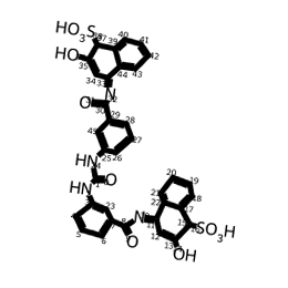 O=C(Nc1cccc(C(=O)N=C2C=C(O)C(S(=O)(=O)O)c3ccccc32)c1)Nc1cccc(C(=O)N=C2C=C(O)C(S(=O)(=O)O)c3ccccc32)c1